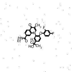 CCNC(=O)c1ccc2c(=O)c(C)cn(-c3cc(C(C)(C)O)ccc3Oc3ccc(F)cc3F)c2c1